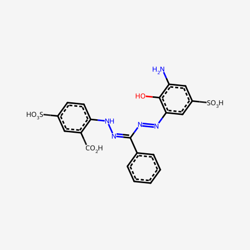 Nc1cc(S(=O)(=O)O)cc(/N=N/C(=N\Nc2ccc(S(=O)(=O)O)cc2C(=O)O)c2ccccc2)c1O